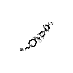 C[C@@H]1CN(c2ncc(C#N)cn2)C[C@H](C)N1C(=O)NC1CCCN(CCC(C)(C)C)CCC1